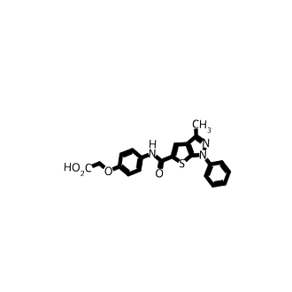 Cc1nn(-c2ccccc2)c2sc(C(=O)Nc3ccc(OCC(=O)O)cc3)cc12